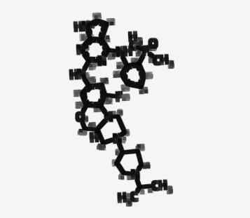 CC(C)N1CCC(N2CCN3c4c(F)cc(Nc5nc(Nc6ccccc6P(C)(C)=O)c6cc[nH]c6n5)cc4OC[C@H]3C2)CC1